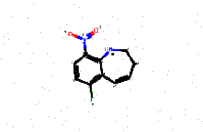 O=[N+]([O-])c1ccc(F)c2c1NCCC=C2